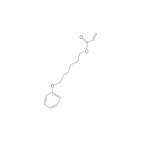 C=CC(=O)OCCCCCCOc1ccccc1